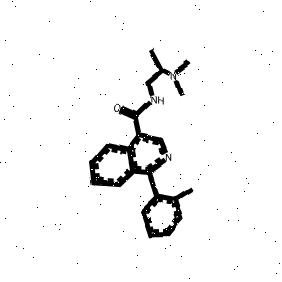 Cc1ccccc1-c1ncc(C(=O)NCC(C)N(C)C)c2ccccc12